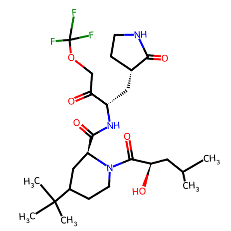 CC(C)C[C@@H](O)C(=O)N1CCC(C(C)(C)C)C[C@H]1C(=O)N[C@@H](C[C@@H]1CCNC1=O)C(=O)COC(F)(F)F